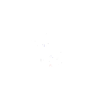 C=CCN(CC=C)CCN(C(=O)CC)c1ccccc1